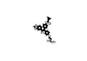 CCCNCCOc1ccc(C(=C(CC)c2ccc3c(c2)OCO3)c2ccc(OC(=O)C3CC3)cc2)cc1